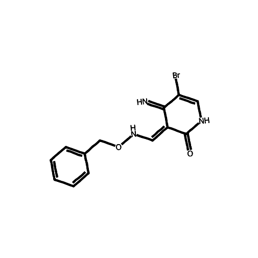 N=C1C(Br)=CNC(=O)/C1=C/NOCc1ccccc1